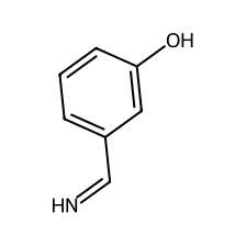 N=Cc1cccc(O)c1